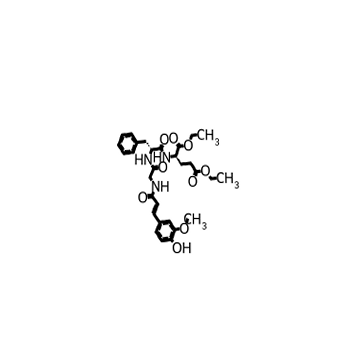 CCOC(=O)CC[C@@H](NC(=O)[C@@H](Cc1ccccc1)NC(=O)CNC(=O)/C=C/c1ccc(O)c(OC)c1)C(=O)OCC